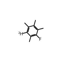 [2H]c1c(C)c(C)c(C)c(F)c1C